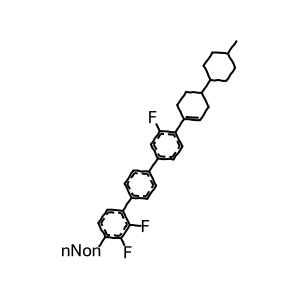 CCCCCCCCCc1ccc(-c2ccc(-c3ccc(C4=CCC(C5CCC(C)CC5)CC4)c(F)c3)cc2)c(F)c1F